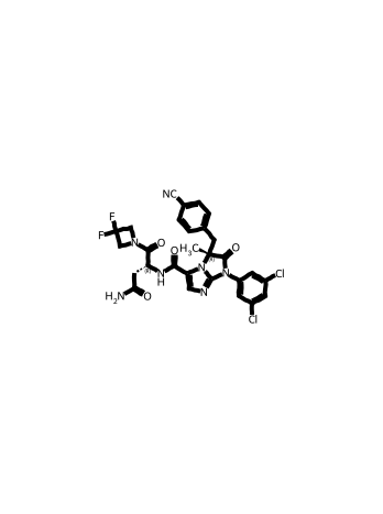 C[C@@]1(Cc2ccc(C#N)cc2)C(=O)N(c2cc(Cl)cc(Cl)c2)c2ncc(C(=O)N[C@H](CC(N)=O)C(=O)N3CC(F)(F)C3)n21